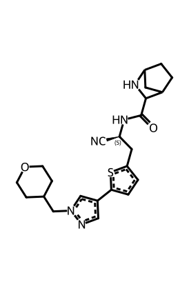 N#C[C@H](Cc1ccc(-c2cnn(CC3CCOCC3)c2)s1)NC(=O)C1NC2CCC1C2